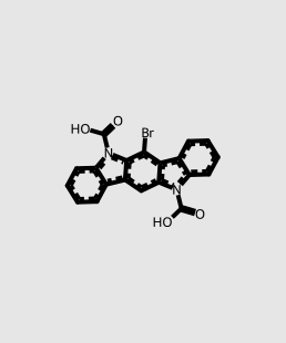 O=C(O)n1c2ccccc2c2c(Br)c3c(cc21)c1ccccc1n3C(=O)O